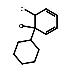 ClC1C=CC=CC1(Cl)C1CCCCC1